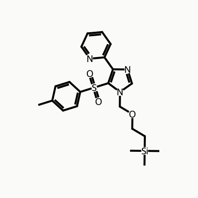 Cc1ccc(S(=O)(=O)c2c(-c3ccccn3)ncn2COCC[Si](C)(C)C)cc1